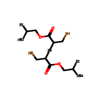 CCCCC(CC)COC(=O)[CH](CS)[Zn][CH](CS)C(=O)OCC(CC)CCCC